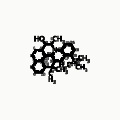 CC1C(O)c2ccc3cccc4c3c2-c2c(cc3c([Si](C)(C)C)cccc3[n+]21)C4(C)C